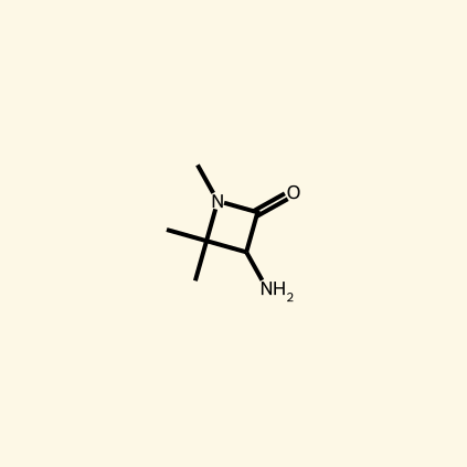 CN1C(=O)C(N)C1(C)C